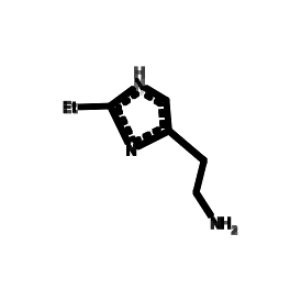 CCc1nc(CCN)c[nH]1